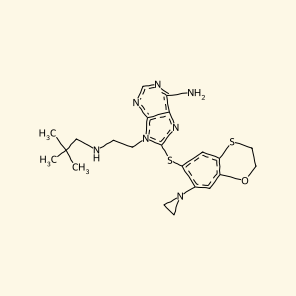 CC(C)(C)CNCCn1c(Sc2cc3c(cc2N2CC2)OCCS3)nc2c(N)ncnc21